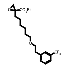 CCOC(=O)C1(CCCCCCOCCc2cccc(C(F)(F)F)c2)CO1